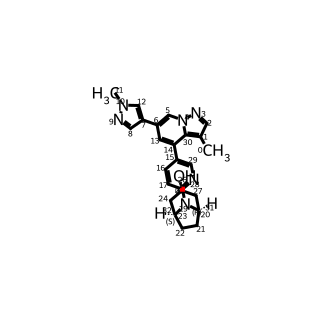 Cc1cnn2cc(-c3cnn(C)c3)cc(-c3ccc(N4[C@@H]5CC[C@H]4C[C@@H](O)C5)nc3)c12